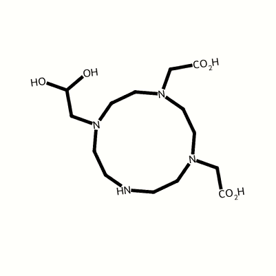 O=C(O)CN1CCNCCN(CC(O)O)CCN(CC(=O)O)CC1